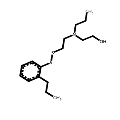 CCCc1ccccc1SSCCN(CCC)CCO